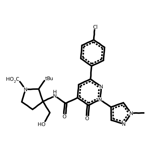 Cn1cc(-n2nc(-c3ccc(Cl)cc3)cc(C(=O)NC3(CO)CCN(C(=O)O)C3C(C)(C)C)c2=O)cn1